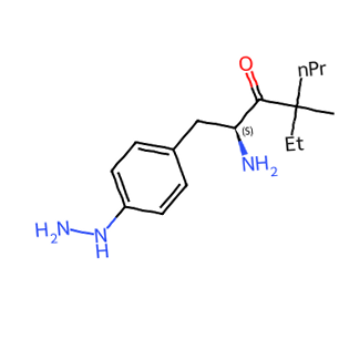 CCCC(C)(CC)C(=O)[C@@H](N)Cc1ccc(NN)cc1